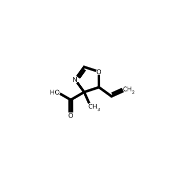 C=CC1OC=NC1(C)C(=O)O